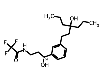 CCCC(O)(CCC)CCc1cccc([C@@H](O)CCNC(=O)C(F)(F)F)c1